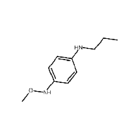 CCCNc1ccc(NOC)cc1